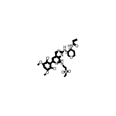 C=CC(=O)N[C@H]1CCOC[C@H]1Nc1ncc2cc(-c3c(Cl)c(OC)cc(OC)c3Cl)nc(NCCS(=O)(=O)CC)c2n1